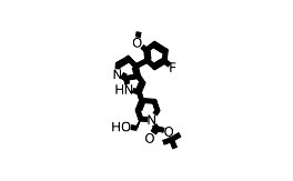 COc1ccc(F)cc1-c1ccnc2[nH]c(C3=C[C@H](CO)N(C(=O)OC(C)(C)C)CC3)cc12